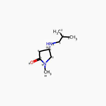 CC(C)CN[C@H]1CC(=O)N(C)C1